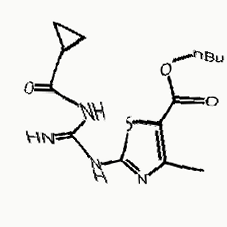 CCCCOC(=O)c1sc(NC(=N)NC(=O)C2CC2)nc1C